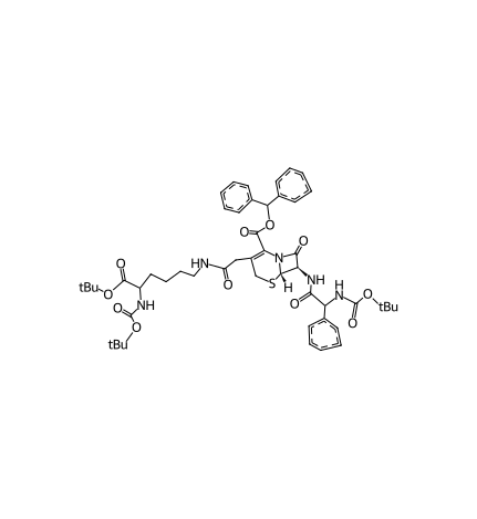 CC(C)(C)OC(=O)NC(CCCCNC(=O)CC1=C(C(=O)OC(c2ccccc2)c2ccccc2)N2C(=O)[C@@H](NC(=O)C(NC(=O)OC(C)(C)C)c3ccccc3)[C@@H]2SC1)C(=O)OC(C)(C)C